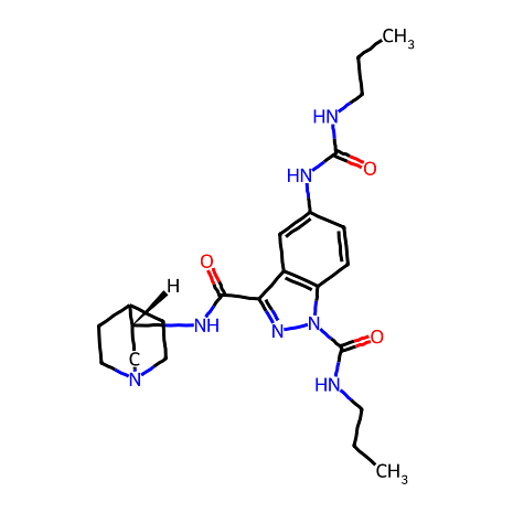 CCCNC(=O)Nc1ccc2c(c1)c(C(=O)N[C@@H]1CN3CCC1CC3)nn2C(=O)NCCC